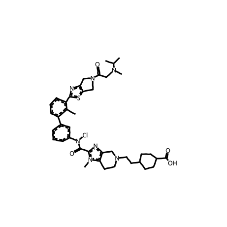 Cc1c(-c2cccc(N(Cl)C(=O)c3nc4c(n3C)CCN(CCC3CCC(C(=O)O)CC3)C4)c2)cccc1-c1nc2c(s1)CN(C(=O)CN(C)C(C)C)C2